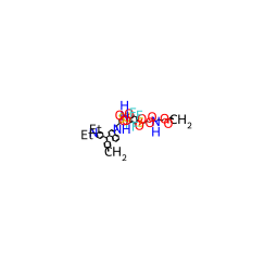 C=CC(=O)OCCNC(=O)OCCS(=O)(=O)c1c(F)c(F)c(S(=O)(=O)NS(=O)(=O)CCCNc2ccc(C(c3ccc(N(CC)CC)cc3)=c3ccc(=C)cc3)c3ccccc23)c(F)c1F